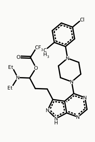 CCN(CC)C(CCc1n[nH]c2ncnc(N3CCN(c4cc(Cl)ccc4C)CC3)c12)OC(=O)C(F)(F)F